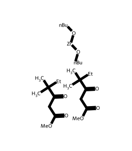 CCC(C)(C)C(=O)CC(=O)OC.CCC(C)(C)C(=O)CC(=O)OC.CCCC[O][Zr][O]CCCC